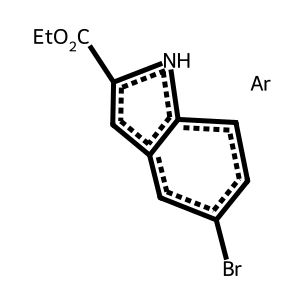 CCOC(=O)c1cc2cc(Br)ccc2[nH]1.[Ar]